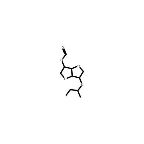 CCC(C)OC1COC2C(OC=O)COC12